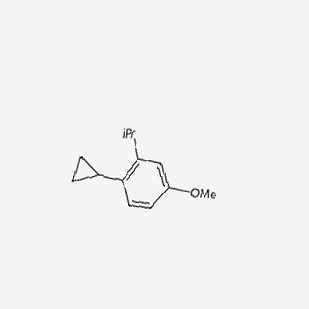 [CH2]C(C)c1cc(OC)ccc1C1CC1